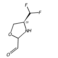 O=CC1N[C@H](C(F)F)CO1